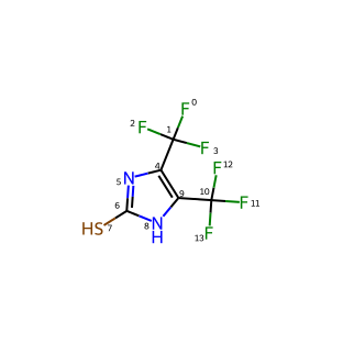 FC(F)(F)c1nc(S)[nH]c1C(F)(F)F